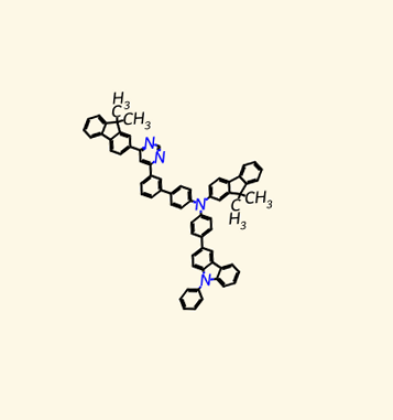 CC1(C)c2ccccc2-c2ccc(-c3cc(-c4cccc(-c5ccc(N(c6ccc(-c7ccc8c(c7)c7ccccc7n8-c7ccccc7)cc6)c6ccc7c(c6)C(C)(C)c6ccccc6-7)cc5)c4)ncn3)cc21